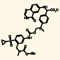 C[C@@H](COC(=O)Nc1ccc(S(=O)(=O)C2CC2)c(CN(C)C(=O)OC(C)(C)C)c1)c1ccc(C(Nc2ccc3nc[nH]c(=O)c3c2)C(=O)O)cc1